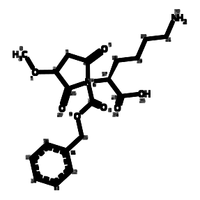 COC1CC(=O)[N+](C(=O)OCc2ccccc2)([C@@H](CCCCN)C(=O)O)C1=O